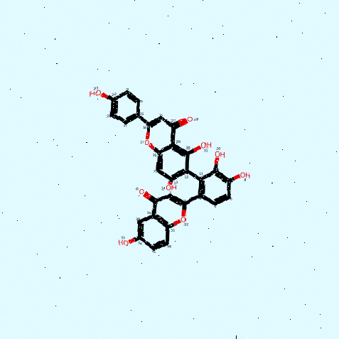 O=c1cc(-c2ccc(O)c(O)c2-c2c(O)cc3oc(-c4ccc(O)cc4)cc(=O)c3c2O)oc2ccc(O)cc12